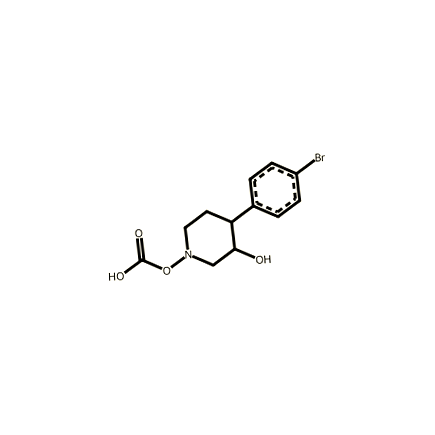 O=C(O)ON1CCC(c2ccc(Br)cc2)C(O)C1